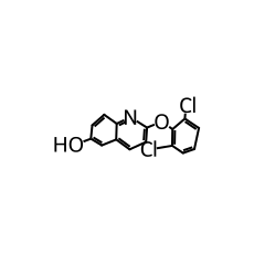 Oc1ccc2nc(Oc3c(Cl)cccc3Cl)ccc2c1